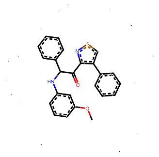 COc1cccc(NC(C(=O)c2nscc2-c2ccccc2)c2ccccc2)c1